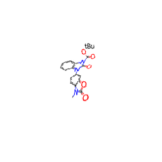 Cn1c(=O)oc2cc(-n3c(=O)n(C(=O)OC(C)(C)C)c4ccccc43)ccc21